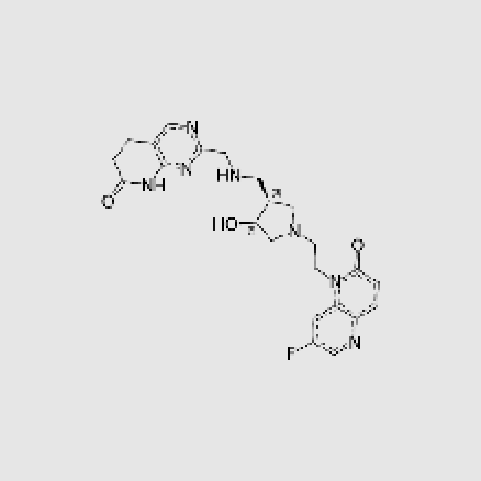 O=C1CCc2cnc(CNC[C@H]3CN(CCn4c(=O)ccc5ncc(F)cc54)C[C@H]3O)nc2N1